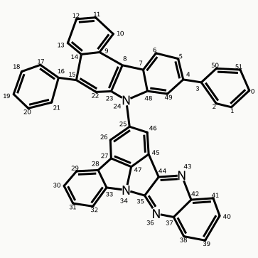 c1ccc(-c2ccc3c4c5ccccc5c(-c5ccccc5)cc4n(-c4cc5c6ccccc6n6c7nc8ccccc8nc7c(c4)c56)c3c2)cc1